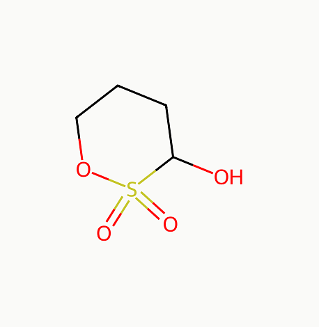 O=S1(=O)OCCCC1O